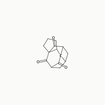 O=C1C2CC3CC1C(=O)C1(CCCC1C3)C2=O